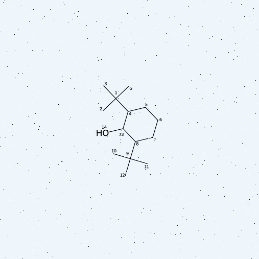 CC(C)(C)C1CCCC(C(C)(C)C)C1O